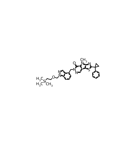 Cn1c2nc(C3(c4ccccc4)CC3)sc2c2cnn(Cc3cccc4c3cnn4COCC[Si](C)(C)C)c(=O)c21